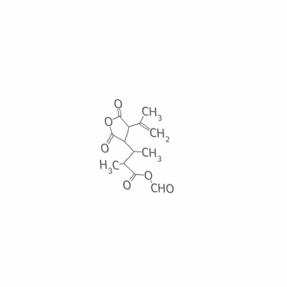 C=C(C)C1C(=O)OC(=O)C1C(C)C(C)C(=O)OC=O